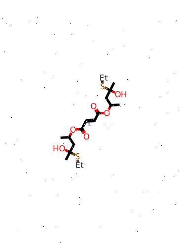 CCSC(C)(O)CC(C)OC(=O)/C=C/C(=O)OC(C)CC(C)(O)SCC